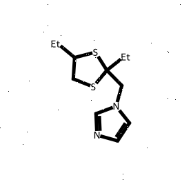 CCC1CSC(CC)(Cn2ccnc2)S1